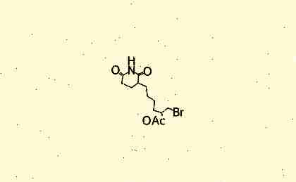 CC(=O)OC(CBr)CCCCC1CCC(=O)NC1=O